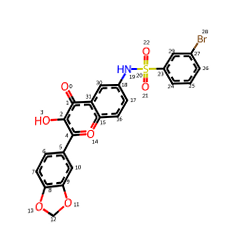 O=c1c(O)c(-c2ccc3c(c2)OCO3)oc2ccc(NS(=O)(=O)c3cccc(Br)c3)cc12